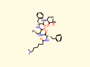 CC(C)CC(NC(=O)[C@H](CCc1ccccc1)NC(=O)CCCCCN(C)C)C(=O)N[C@@H](Cc1ccccc1)C(=O)NC(CC(C)C)C(=O)C1(C)CO1